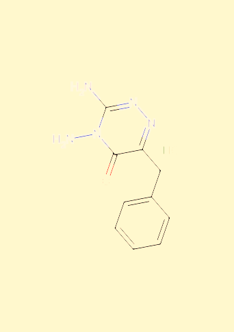 Cl.Nc1nnc(Cc2ccccc2)c(=O)n1N